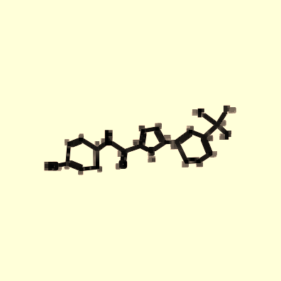 O=C(Nc1ccc(O)cc1)c1ccc(-c2cccc(C(F)(F)F)c2)s1